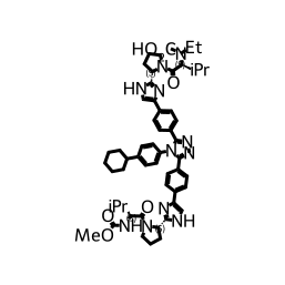 CCN(C(=O)O)[C@H](C(=O)N1CCC[C@H]1c1nc(-c2ccc(-c3nnc(-c4ccc(-c5c[nH]c([C@@H]6CCCN6C(=O)[C@@H](NC(=O)OC)C(C)C)n5)cc4)n3-c3ccc(C4CCCCC4)cc3)cc2)c[nH]1)C(C)C